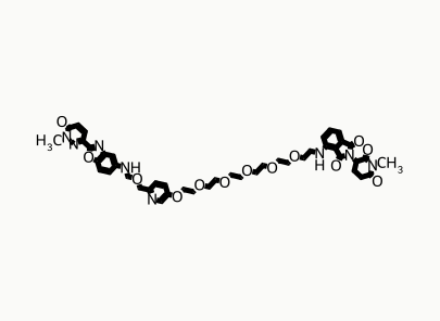 CN1C(=O)CCC(N2C(=O)c3cccc(NCCOCCOCCOCCOCCOCCOc4ccc(COCNc5ccc6oc(-c7ccc(=O)n(C)n7)nc6c5)nc4)c3C2=O)C1=O